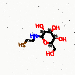 OC[C@H]1OC(NCCS)[C@H](O)[C@@H](O)[C@@H]1O